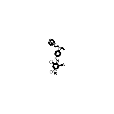 CCN(CC[N+]12CCN(CC1)CC2)c1ccc(/N=N/c2c(Cl)cc([N+](=O)[O-])cc2C#N)cc1